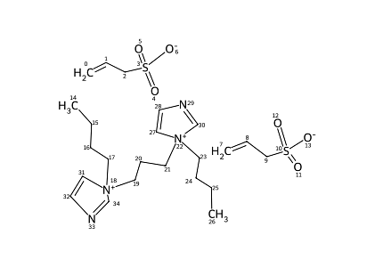 C=CCS(=O)(=O)[O-].C=CCS(=O)(=O)[O-].CCCC[N+]1(CCC[N+]2(CCCC)C=CN=C2)C=CN=C1